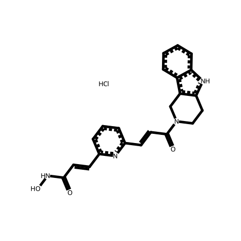 Cl.O=C(/C=C/c1cccc(/C=C/C(=O)N2CCc3[nH]c4ccccc4c3C2)n1)NO